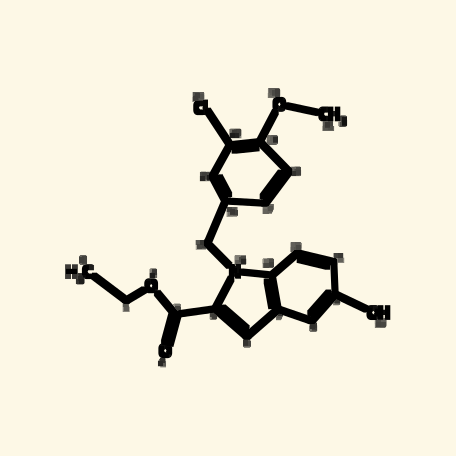 CCOC(=O)c1cc2cc(O)ccc2n1Cc1ccc(OC)c(Cl)c1